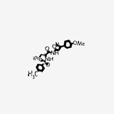 COc1ccc(-c2cc(NC(=O)[C@H](CC(C)C)NS(=O)(=O)c3ccc(C)cc3)on2)cc1